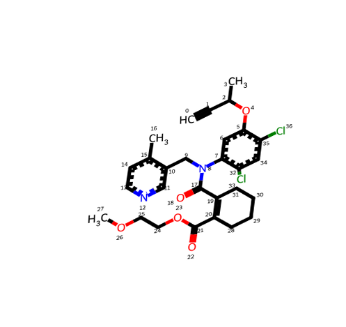 C#CC(C)Oc1cc(N(Cc2cnccc2C)C(=O)C2=C(C(=O)OCCOC)CCCC2)c(Cl)cc1Cl